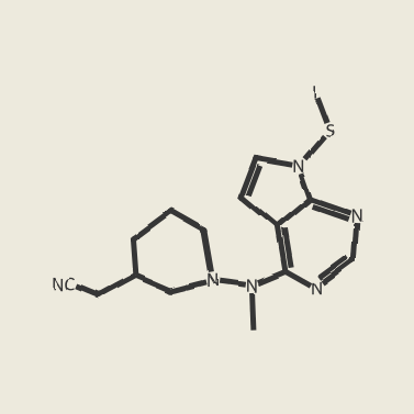 CN(c1ncnc2c1ccn2SI)N1CCCC(CC#N)C1